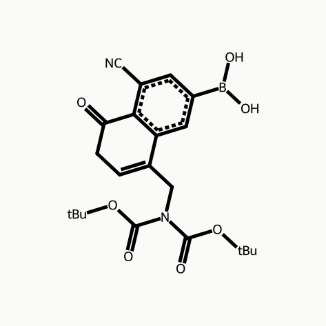 CC(C)(C)OC(=O)N(CC1=CCC(=O)c2c(C#N)cc(B(O)O)cc21)C(=O)OC(C)(C)C